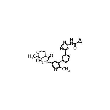 Cc1ncc(NC(=O)C2CCOC(C)(C)C2)cc1-c1cccc(-c2cc(NC(=O)C3CC3)ncn2)c1